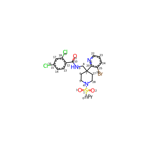 CCCS(=O)(=O)N1CCC(CNC(=O)c2ccc(Cl)cc2Cl)(c2ncccc2Br)CC1